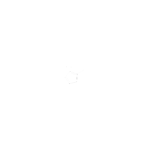 CC1=CC=C[CH]1.[Co]